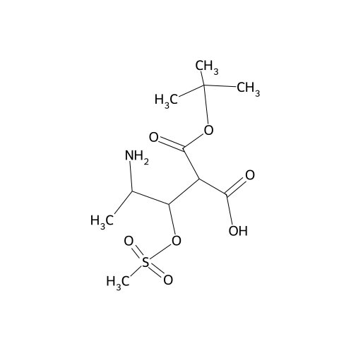 CC(N)C(OS(C)(=O)=O)C(C(=O)O)C(=O)OC(C)(C)C